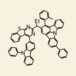 CCC(c1nc(-c2ccc3c4ccccc4n(-c4ccccc4)c3c2)c2c(n1)sc1ccccc12)c1cc2c3ccc(-c4ccccc4)cc3n3c4ccccc4c(c1-c1ccccc1C)c23